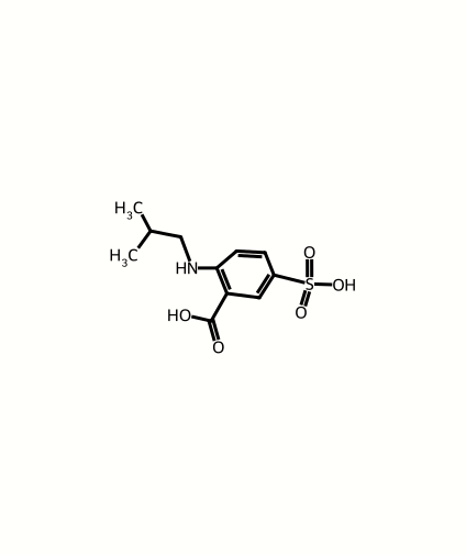 CC(C)CNc1ccc(S(=O)(=O)O)cc1C(=O)O